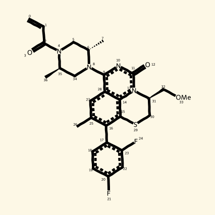 C=CC(=O)N1C[C@H](C)N(c2nc(=O)n3c4c(c(-c5ccc(F)cc5F)c(C)cc24)SC[C@@H]3COC)C[C@H]1C